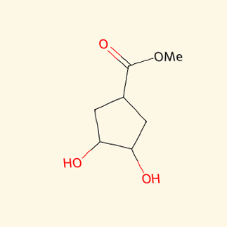 COC(=O)C1CC(O)C(O)C1